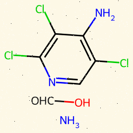 N.Nc1c(Cl)cnc(Cl)c1Cl.O=CO